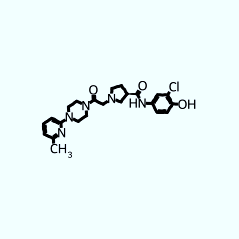 Cc1cccc(N2CCN(C(=O)CN3CC[C@@H](C(=O)Nc4ccc(O)c(Cl)c4)C3)CC2)n1